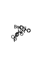 CCOC(=O)C12CCC(NC(=O)c3c(C)c(-c4ccccc4)nc4ccc(Br)cc34)(CC1)CC2